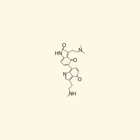 CNCCC1=C2C(=O)C=CC(C3=CC=C4NC(=O)C(CCN(C)C)=C4C3=O)=C2N=C1